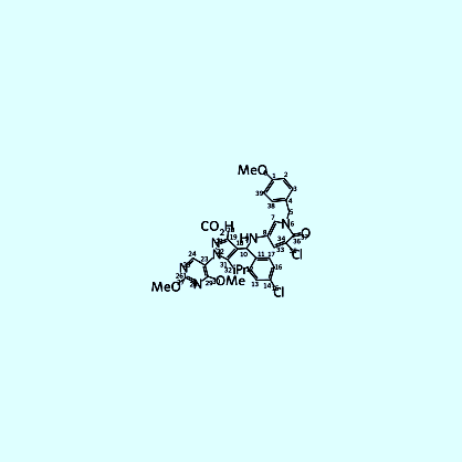 COc1ccc(Cn2cc(NC(c3ccc(Cl)cc3)c3c(C(=O)O)nn(-c4cnc(OC)nc4OC)c3C(C)C)cc(Cl)c2=O)cc1